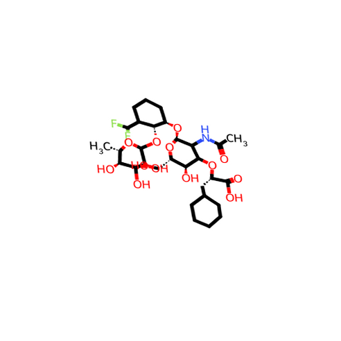 CC(=O)NC1C(O[C@@H](CC2CCCCC2)C(=O)O)[C@@H](O)[C@H](CO)O[C@H]1O[C@@H]1CCCC(C(F)F)[C@H]1OC1O[C@@H](C)[C@H](O)C(O)[C@@H]1O